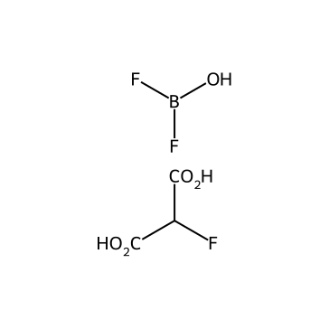 O=C(O)C(F)C(=O)O.OB(F)F